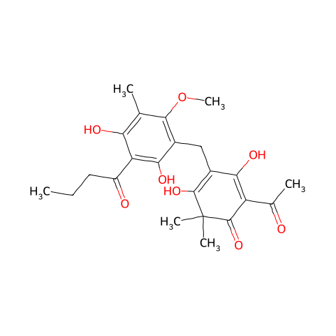 CCCC(=O)c1c(O)c(C)c(OC)c(CC2=C(O)C(C)(C)C(=O)C(C(C)=O)=C2O)c1O